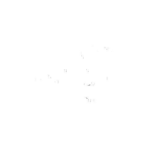 CN(C)c1cccc2cc(Nc3nc(N[C@@H]4CCCC[C@@H]4N)c(F)cc3C(N)=O)cnc12